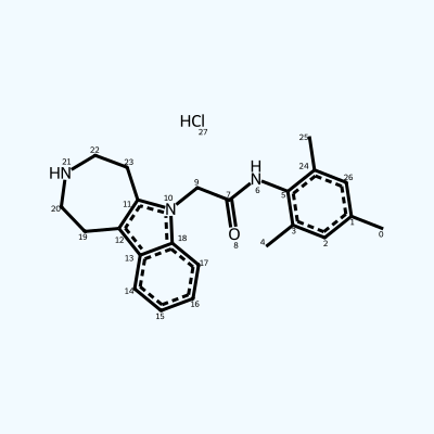 Cc1cc(C)c(NC(=O)Cn2c3c(c4ccccc42)CCNCC3)c(C)c1.Cl